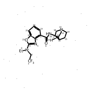 CCN(CC(F)(F)F)c1nc2c(C(=O)N[C@@H]3CN4CCC3CC4)cccc2o1